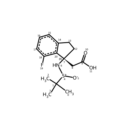 CC(C)(C)[S+]([O-])N[C@@]1(CC(=O)O)CCc2cccc(F)c21